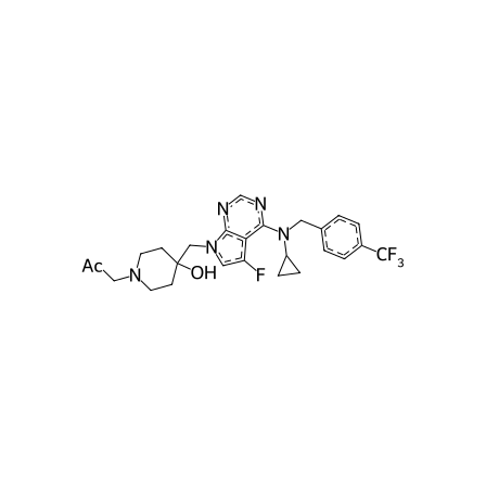 CC(=O)CN1CCC(O)(Cn2cc(F)c3c(N(Cc4ccc(C(F)(F)F)cc4)C4CC4)ncnc32)CC1